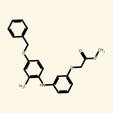 COC(=O)COc1cccc(Nc2ccc(OCc3ccccc3)cc2C)c1